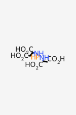 O=C(O)CC(NPNC(CC(=O)O)C(=O)O)C(=O)O